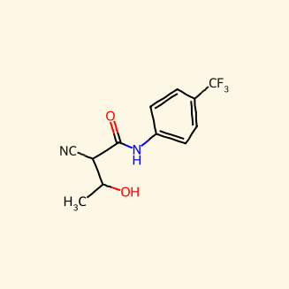 CC(O)C(C#N)C(=O)Nc1ccc(C(F)(F)F)cc1